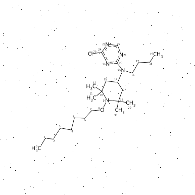 CCCCCCCCON1C(C)(C)CC(N(CCCC)c2ncnc(Cl)n2)CC1(C)C